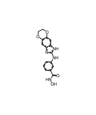 O=C(NO)c1cccc(Nc2nc3cc4c(cc3[nH]2)OCCO4)c1